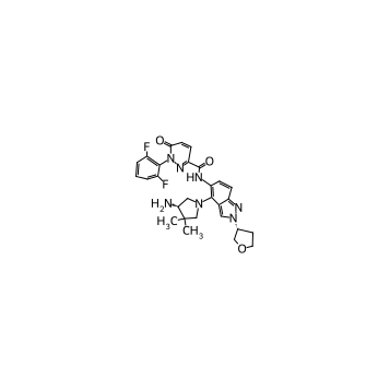 CC1(C)CN(c2c(NC(=O)c3ccc(=O)n(-c4c(F)cccc4F)n3)ccc3nn([C@@H]4CCOC4)cc23)C[C@@H]1N